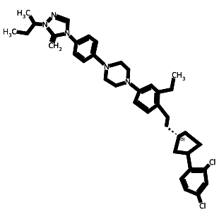 C=C1N(c2ccc(N3CCN(c4ccc(CC[C@@H]5CCC(c6ccc(Cl)cc6Cl)C5)c(CC)c4)CC3)cc2)C=NN1C(C)CC